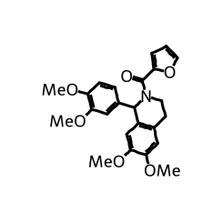 COc1ccc(C2c3cc(OC)c(OC)cc3CCN2C(=O)c2ccco2)cc1OC